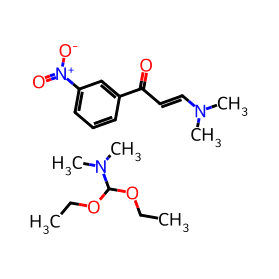 CCOC(OCC)N(C)C.CN(C)C=CC(=O)c1cccc([N+](=O)[O-])c1